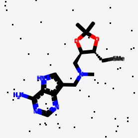 CSC[C@H]1OC(C)(C)O[C@@H]1CN(C)Cc1c[nH]c2c(N)ncnc12